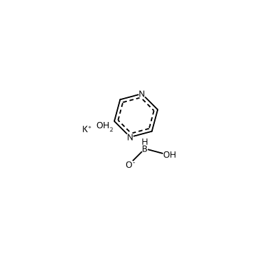 O.[K+].[O-]BO.c1cnccn1